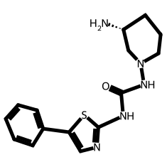 N[C@@H]1CCCN(NC(=O)Nc2ncc(-c3ccccc3)s2)C1